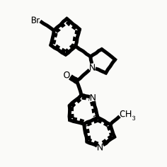 Cc1cncc2ccc(C(=O)N3CCCC3c3ccc(Br)cc3)nc12